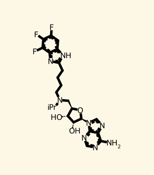 CC(C)N(CCCCc1nc2c(F)c(F)c(F)cc2[nH]1)C[C@H]1O[C@@H](n2cnc3c(N)ncnc32)[C@H](O)[C@@H]1O